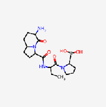 CCC(NC(=O)C1CCC2CCC(N)C(=O)N21)C(=O)N1CCCC1B(O)O